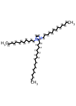 CCCCCCCCCCCCCCCCCc1n(CCCCCCCCCCCCC)cc[n+]1CCCCCCCCCCCC